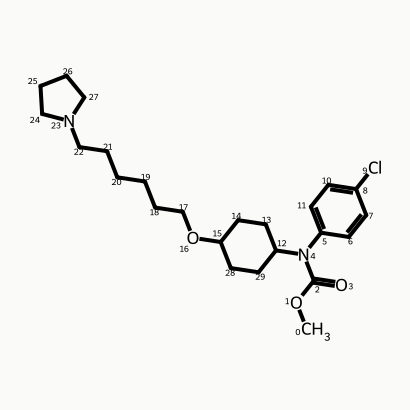 COC(=O)N(c1ccc(Cl)cc1)C1CCC(OCCCCCCN2CCCC2)CC1